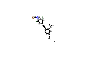 CCCc1ccc(C#Cc2cc(F)c(N=C=S)c(F)c2)c(C2CC2)c1